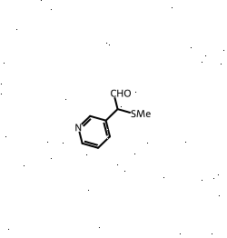 CSC(C=O)c1cccnc1